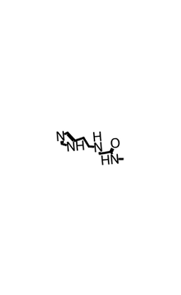 CNC(=O)CNCCc1cnc[nH]1